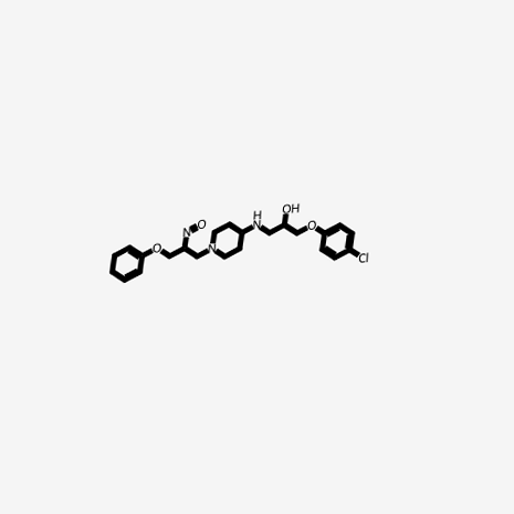 O=NC(COC1=CCCC=C1)CN1CCC(NCC(O)COc2ccc(Cl)cc2)CC1